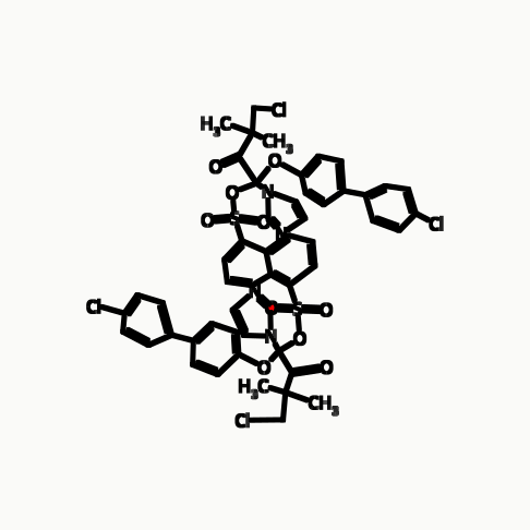 CC(C)(CCl)C(=O)C(Oc1ccc(-c2ccc(Cl)cc2)cc1)(OS(=O)(=O)c1cccc2c(S(=O)(=O)OC(Oc3ccc(-c4ccc(Cl)cc4)cc3)(C(=O)C(C)(C)CCl)n3ccnc3)cccc12)n1ccnc1